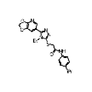 CCn1c(SCC(=O)Nc2ccc(C(C)C)cc2)nnc1-c1cnc2c(c1)OCO2